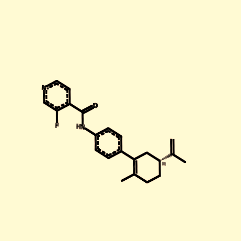 C=C(C)[C@@H]1CCC(C)=C(c2ccc(NC(=O)c3ccncc3F)cc2)C1